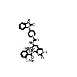 COc1cccc(OC)c1C(=O)Nc1nc(=O)[nH]cc1CC(NC(=O)N1CCC(n2c(=O)n(C)c3ccccc32)CC1)C(=O)O